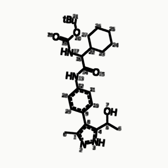 Cc1n[nH]c(C(C)O)c1-c1ccc(NC(=O)C(NC(=O)OC(C)(C)C)C2CCCCC2)cc1